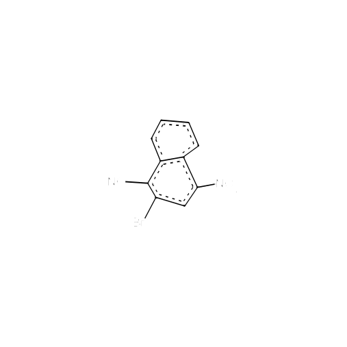 N#Cc1c(Br)cc([N+](=O)[O-])c2ccccc12